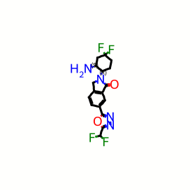 N[C@H]1CC(F)(F)CC[C@H]1N1Cc2ccc(-c3nnc(C(F)F)o3)cc2C1=O